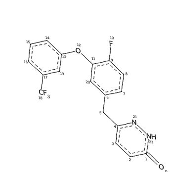 O=c1ccc(Cc2ccc(F)c(Oc3cccc(C(F)(F)F)c3)c2)n[nH]1